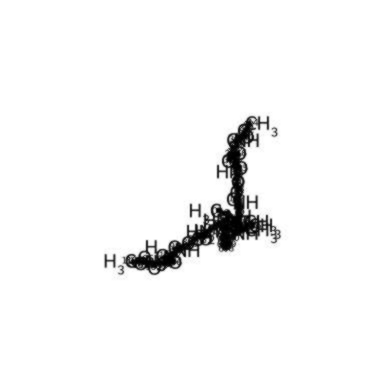 CCCCC(NC(=O)C(CCCCNC(=O)COCCOCCNC(=O)CCN1C(=O)CC(SCC(=O)NCC(=O)OCCC)C1=O)NC(=O)C(CCC(C)(C)C)NC(=O)Cc1cccc2ccccc12)C(=O)NC(CCCCNC(=O)COCCOCCNC(=O)CCN1C(=O)CC(SCC(=O)NCC(=O)OCCC)C1=O)C(N)=O